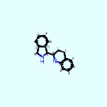 c1ccc2c(c1)CCC(C1NCc3ccccc31)[N]2